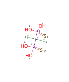 OP(O)(=S)C(F)(F)P(O)(O)=S